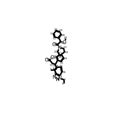 CCn1nnc2c(C)c(C(CC(=O)O)c3ccc4c(c3)CN(C(=O)[C@@H](OC)c3ccccc3)CC4)ccc21